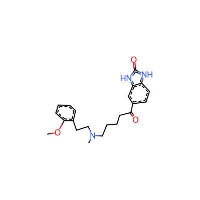 COc1ccccc1CCN(C)CCCCC(=O)c1ccc2[nH]c(=O)[nH]c2c1